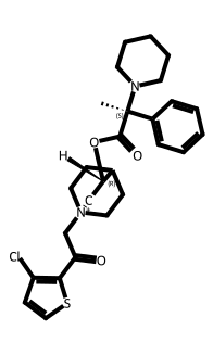 C[C@@](C(=O)O[C@H]1C[N+]2(CC(=O)c3sccc3Cl)CCC1CC2)(c1ccccc1)N1CCCCC1